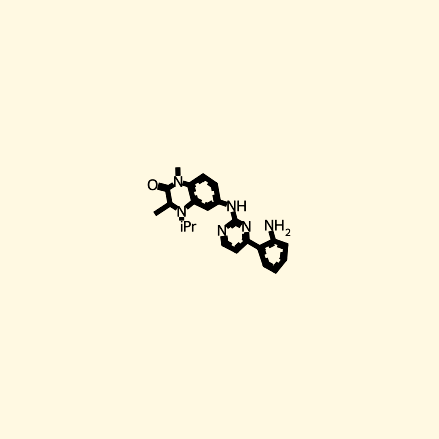 CC(C)N1c2cc(Nc3nccc(-c4ccccc4N)n3)ccc2N(C)C(=O)C1C